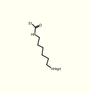 CCCCCCCCCCCCCNC(=O)CC